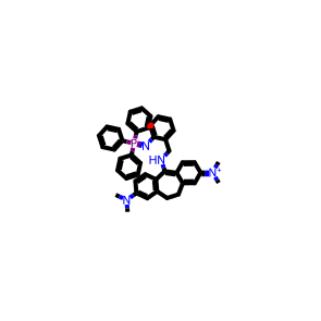 CN(C)c1ccc2c(c1)CCC1=CC(=[N+](C)C)C=CC1=C2NCc1ccccc1N=P(c1ccccc1)(c1ccccc1)c1ccccc1